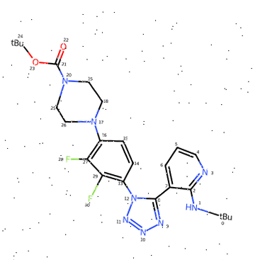 CC(C)(C)Nc1ncccc1-c1nnnn1-c1ccc(N2CCN(C(=O)OC(C)(C)C)CC2)c(F)c1F